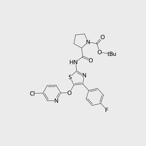 CC(C)(C)OC(=O)N1CCCC1C(=O)Nc1nc(-c2ccc(F)cc2)c(Oc2ccc(Cl)cn2)s1